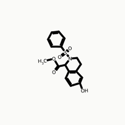 COC(=O)C1c2ccc(O)cc2CCN1S(=O)(=O)c1ccccc1